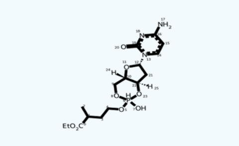 CCOC(=O)C(C)CCO[PH]1(O)OC[C@@H]2O[C@H](n3ccc(N)nc3=O)C[C@H]2O1